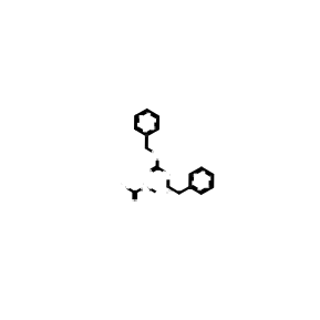 NC(=O)NC[C@@H](Cc1ccccc1)NC(=O)OCc1ccccc1